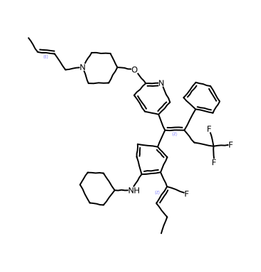 C/C=C/CN1CCC(Oc2ccc(/C(=C(/CC(F)(F)F)c3ccccc3)c3ccc(NC4CCCCC4)c(/C(F)=C/CC)c3)cn2)CC1